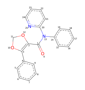 O=C(C1=C(c2ccccc2)OCO1)N(c1ccccc1)c1ccccn1